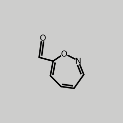 O=CC1=CC=CC=NO1